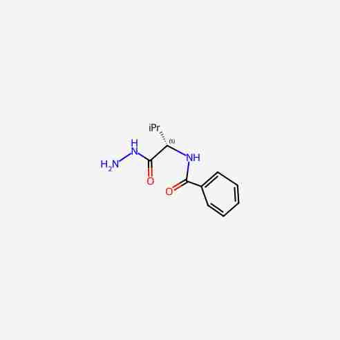 CC(C)[C@H](NC(=O)c1ccccc1)C(=O)NN